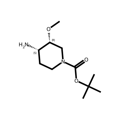 CO[C@@H]1CN(C(=O)OC(C)(C)C)CC[C@@H]1N